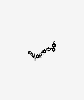 CC(C)(CSc1ncccn1)Nc1ccc(S(=O)(=O)NC(=O)c2ccc(N3CCN(Cc4ccccc4-c4ccc(Cl)cc4)CC3)cc2)cc1[N+](=O)[O-]